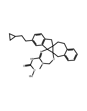 CN1COC23Cc4ccccc4CCC24Cc2ccc(CCC5CC5)cc2C43N=C1NC(=O)OC(C)(C)C